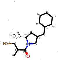 CC(CS)C(=O)N1CC(CC2CCCCC2)C[C@H]1C(=O)O